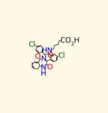 O=C(O)CCCCNC(=O)C(c1ccc(Cl)cc1)N1C(=O)C2=CI=CCC2NC(=O)C1c1ccc(Cl)cc1